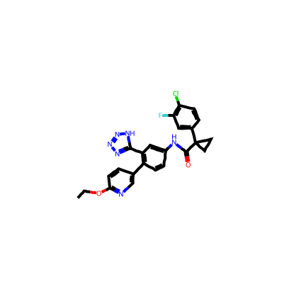 CCOc1ccc(-c2ccc(NC(=O)C3(c4ccc(Cl)c(F)c4)CC3)cc2-c2nnn[nH]2)cn1